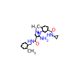 Cc1ccccc1CNC(=O)c1cnn(-c2cc(C(=O)NC3CC3)ccc2C)c1N